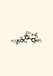 CCc1nc(-c2cnc(N)c(OC(F)F)c2)cc([C@H]2[C@@H]3CC(OS(C)(=O)=O)C[C@@H]32)n1